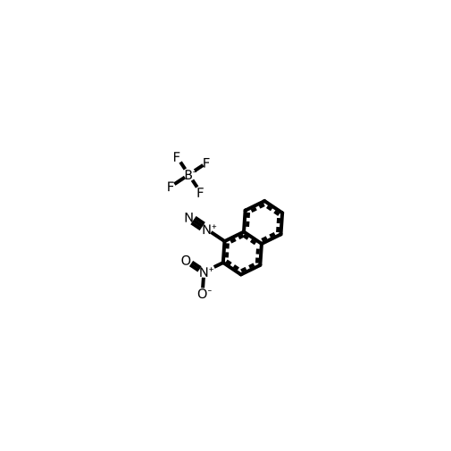 F[B-](F)(F)F.N#[N+]c1c([N+](=O)[O-])ccc2ccccc12